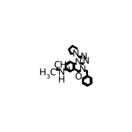 CC(C)Nc1ccc2c(c1)c(=O)n(Cc1ccccc1)c1nnc(N3CCCC3)n21